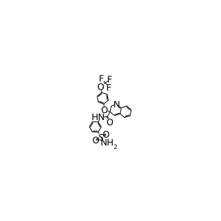 NS(=O)(=O)c1cccc(NC(=O)C2(Oc3ccc(OC(F)(F)F)cc3)C=c3ccccc3=NC2)c1